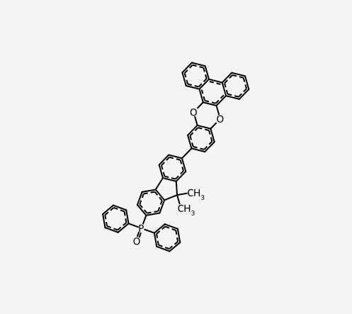 CC1(C)c2cc(-c3ccc4c(c3)Oc3c(c5ccccc5c5ccccc35)O4)ccc2-c2ccc(P(=O)(c3ccccc3)c3ccccc3)cc21